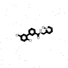 O=C(NCc1cccc[n+]1[O-])c1cccc(-c2cc(Cl)ccc2Cl)c1